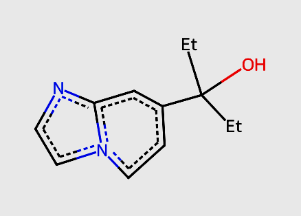 CCC(O)(CC)c1ccn2ccnc2c1